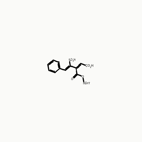 CCCCCCCCOC(=O)/C(=C\C(=O)O)C(=Cc1ccccc1)S(=O)(=O)O